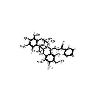 COc1c(C)c(OC)c2c(c1O)[C@H]1[C@@H]3Cc4c(OC)c(C)c(CO)c(O)c4[C@H](CNC(=O)c4ccccn4)N3[C@@H](C#N)[C@H](C2)N1C